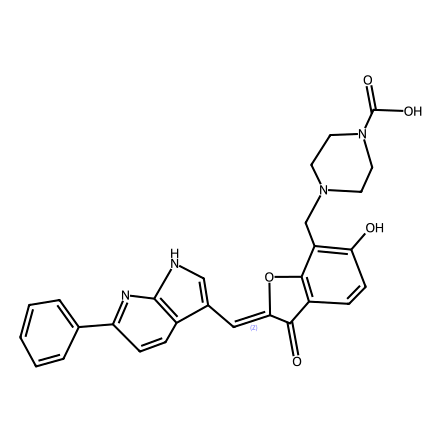 O=C1/C(=C/c2c[nH]c3nc(-c4ccccc4)ccc23)Oc2c1ccc(O)c2CN1CCN(C(=O)O)CC1